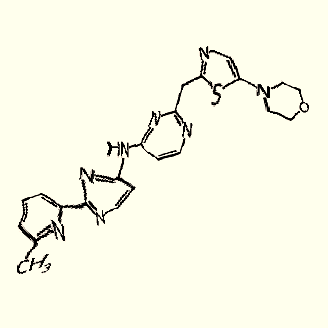 Cc1cccc(-c2nccc(Nc3ccnc(Cc4ncc(N5CCOCC5)s4)n3)n2)n1